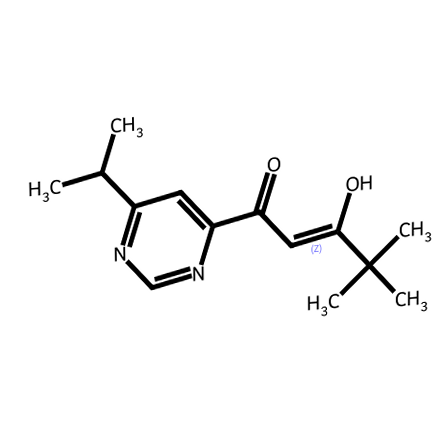 CC(C)c1cc(C(=O)/C=C(\O)C(C)(C)C)ncn1